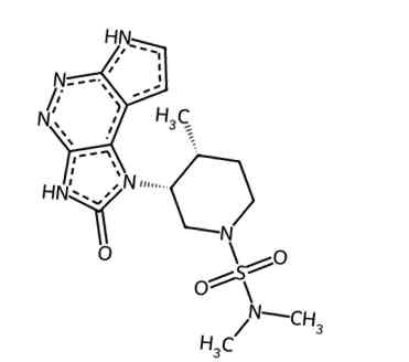 C[C@@H]1CCN(S(=O)(=O)N(C)C)C[C@@H]1n1c(=O)[nH]c2nnc3[nH]ccc3c21